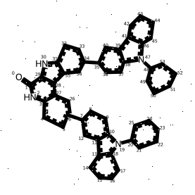 O=c1[nH]c2ccc(-c3ccc4c(c3)c3ccccc3n4-c3ccccc3)cc2c2c1[nH]c1ccc(-c3ccc4c(c3)c3ccccc3n4-c3ccccc3)cc12